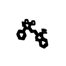 CCN1/C(=C/C=C2\C(=O)ON=C2c2ccccc2)Sc2ccccc21